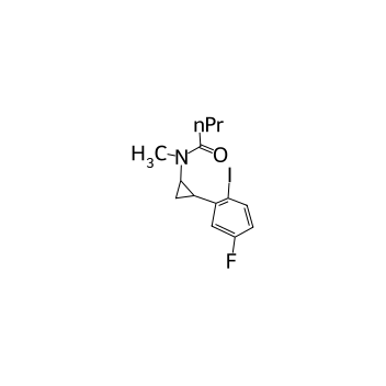 CCCC(=O)N(C)C1CC1c1cc(F)ccc1I